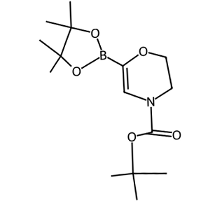 CC(C)(C)OC(=O)N1C=C(B2OC(C)(C)C(C)(C)O2)OCC1